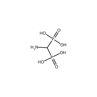 NC(P(=O)(O)O)P(=O)(O)O